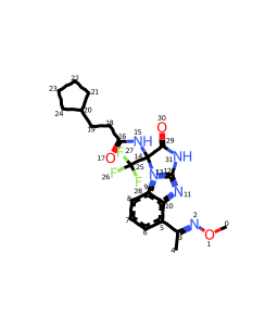 CON=C(C)c1cccc2c1nc1n2C(NC(=O)CCC2CCCC2)(C(F)(F)F)C(=O)N1